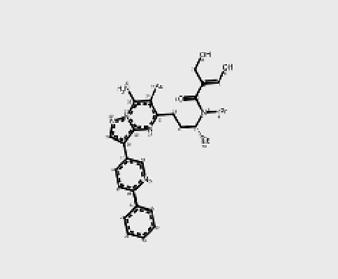 CCCN(C(=O)/C(=C/O)CO)[C@H](CC)CCc1nc2c(-c3ccc(-c4ccccc4)nc3)cnn2c(N)c1C(C)=O